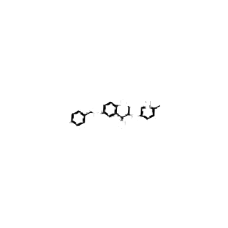 Cc1ccc(OC2COc3ccc(OCc4ccccc4)cc3C2O)cn1